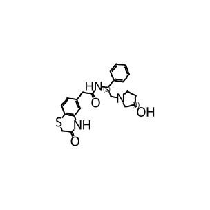 O=C1CSc2ccc(CC(=O)N[C@H](CN3CC[C@@H](O)C3)c3ccccc3)cc2N1